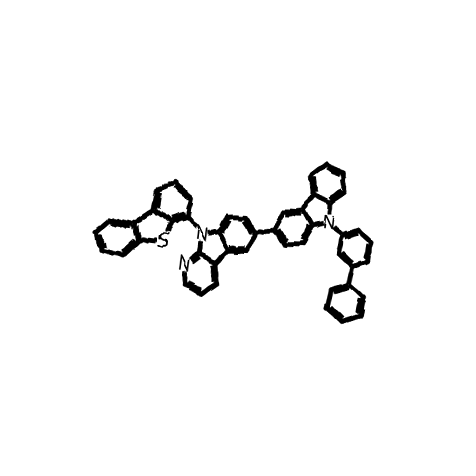 c1ccc(-c2cccc(-n3c4ccccc4c4cc(-c5ccc6c(c5)c5cccnc5n6-c5cccc6c5sc5ccccc56)ccc43)c2)cc1